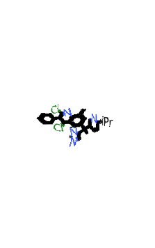 Cc1cc(C(C)(c2ccc(C(C)C)nc2)c2cncn2C)cc2c(Cl)c(-c3ccccc3)c(Cl)nc12